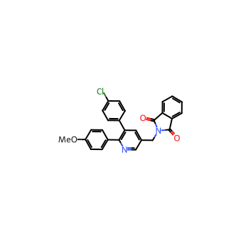 COc1ccc(-c2ncc(CN3C(=O)c4ccccc4C3=O)cc2-c2ccc(Cl)cc2)cc1